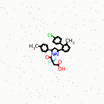 Cc1ccc([C@H]2CC(c3cccc(C)c3-c3ccc(Cl)cc3)=NN2C(=O)C(F)(F)CC(=O)O)cc1